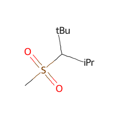 CC(C)C(C(C)(C)C)S(C)(=O)=O